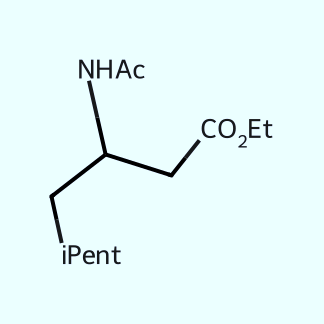 CCCC(C)CC(CC(=O)OCC)NC(C)=O